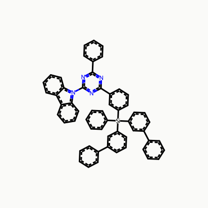 c1ccc(-c2cccc([Si](c3ccccc3)(c3cccc(-c4ccccc4)c3)c3cccc(-c4nc(-c5ccccc5)nc(-n5c6ccccc6c6ccccc65)n4)c3)c2)cc1